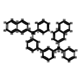 c1ccc(N(c2cccc(-c3cccc(N(c4ccccc4)c4ccc5ccccc5c4)c3)c2)c2ccc3ccccc3c2)cc1